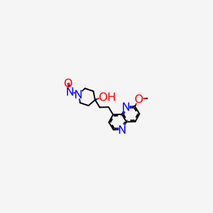 COc1ccc2nccc(CCC3(O)CCN(N=O)CC3)c2n1